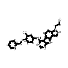 Clc1cc(Nc2ncnc3sc4c(ccc5c4cnn5CCBr)c23)ccc1OCc1ccccn1